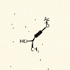 CC(=O)OC#CC(C)O